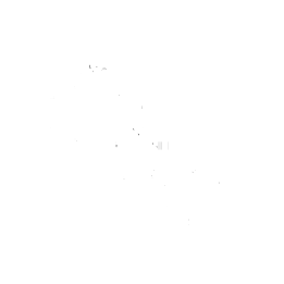 CCc1ccc(C(=O)NN2CCc3c(cccc3OC)C2)cc1